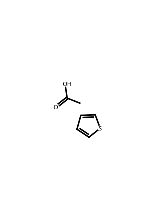 CC(=O)O.c1ccsc1